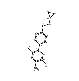 Nc1cc(Cl)c(-c2ccc(OCC3CC3)nc2)cc1F